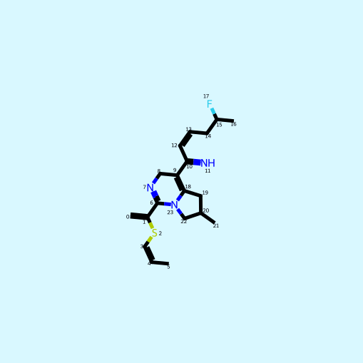 C=C(S/C=C\C)C1=NCC(C(=N)/C=C\CC(C)F)=C2CC(C)CN12